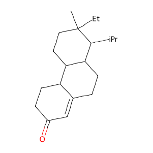 CCC1(C)CCC2C3CCC(=O)C=C3CCC2C1C(C)C